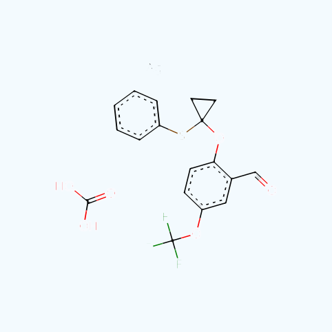 O=C(O)O.O=Cc1cc(OC(F)(F)F)ccc1OC1(Sc2ccccc2)CC1.[Ag]